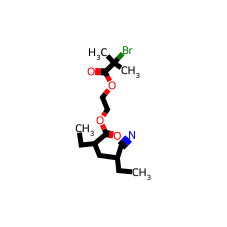 CCC(C#N)CC(CC)C(=O)OCCOC(=O)C(C)(C)Br